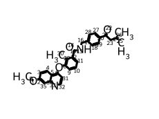 COc1ccc2c(Oc3cccc(C(=O)NCc4ccc(C(=O)CC(C)C)cc4)c3C)ccnc2c1